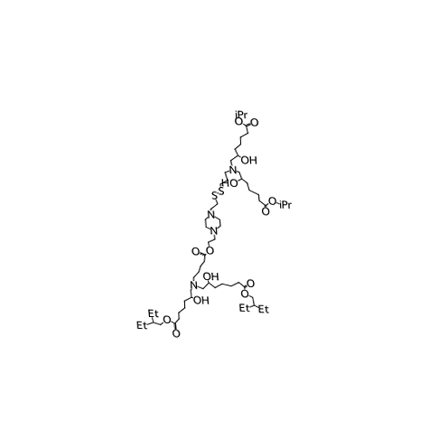 CCC(CC)COC(=O)CCCCC(O)CN(CCCCC(=O)OCCN1CCN(CCSSCCCN(CC(O)CCCCC(=O)OC(C)C)CC(O)CCCCC(=O)OC(C)C)CC1)CC(O)CCCCC(=O)OCC(CC)CC